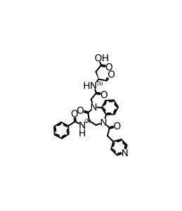 O=C[C@H](CC(=O)O)NC(=O)CN1C(=O)[C@@H](NC(=O)c2ccccc2)CN(C(=O)Cc2ccncc2)c2ccccc21